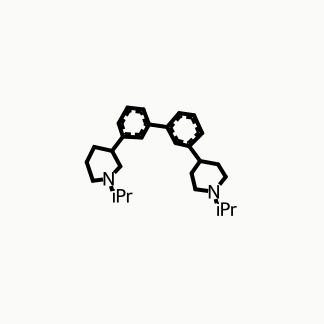 CC(C)N1CCC(c2cccc(-c3cccc(C4CCCN(C(C)C)C4)c3)c2)CC1